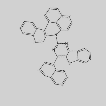 c1ccc2c3c(ccc2c1)N(c1nc(-c2cccc4cccnc24)c2sc4ccccc4c2n1)c1cccc2cccc-3c12